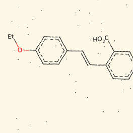 CCOc1ccc(C=Cc2ccccc2C(=O)O)cc1